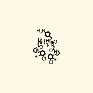 CC(C)(C)N(CC(=O)N1CCCN1c1cccc(Cl)c1Br)C(=O)O.Nc1ccc(CNC(=O)NCC(=O)N2CCCN2c2cccc(Cl)c2Br)cc1